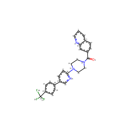 O=C(c1ccc2cccnc2c1)N1CCN(c2ccc(-c3ccc(C(F)(F)F)cc3)cn2)CC1